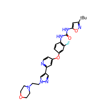 CC(C)(C)c1cc(NC(=O)Nc2ccc(Oc3ccnc(-c4cnn(CCN5CCOCC5)c4)c3)cc2F)on1